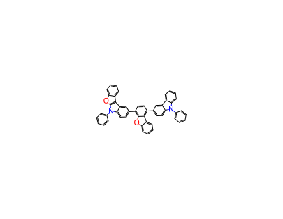 c1ccc(-n2c3ccccc3c3cc(-c4ccc(-c5ccc6c(c5)c5c7ccccc7oc5n6-c5ccccc5)c5oc6ccccc6c45)ccc32)cc1